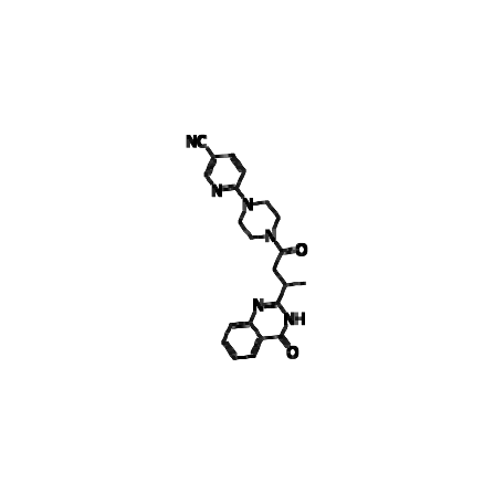 CC(CC(=O)N1CCN(c2ccc(C#N)cn2)CC1)c1nc2ccccc2c(=O)[nH]1